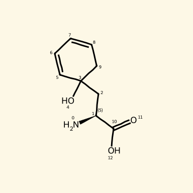 N[C@@H](CC1(O)C=CC=CC1)C(=O)O